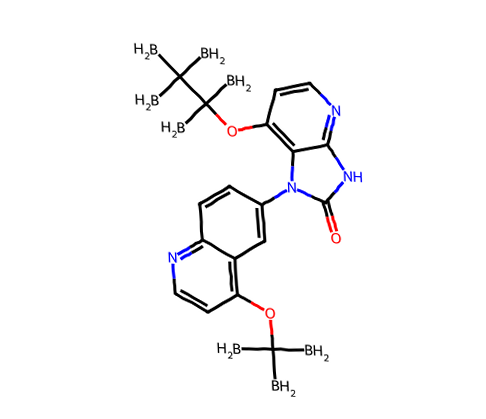 BC(B)(B)Oc1ccnc2ccc(-n3c(=O)[nH]c4nccc(OC(B)(B)C(B)(B)B)c43)cc12